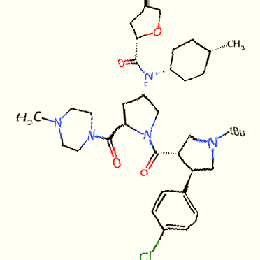 CN1CCN(C(=O)[C@H]2C[C@H](N(C(=O)[C@@H]3CCCO3)[C@H]3CC[C@@H](C)CC3)CN2C(=O)[C@@H]2CN(C(C)(C)C)C[C@H]2c2ccc(Cl)cc2)CC1